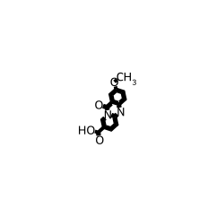 COc1ccc2nc3ccc(C(=O)O)cn3c(=O)c2c1